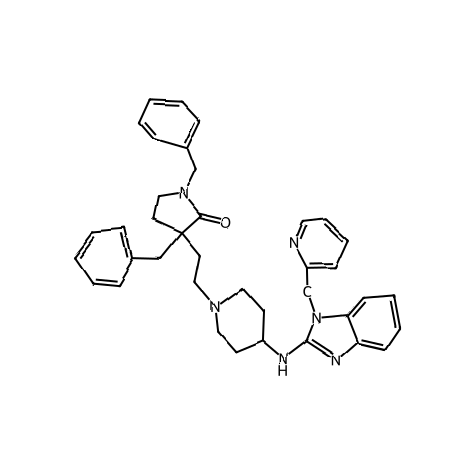 O=C1N(Cc2ccccc2)CCC1(CCN1CCC(Nc2nc3ccccc3n2Cc2ccccn2)CC1)Cc1ccccc1